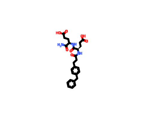 NC(=O)C(CCC(=O)O)NC(=O)[C@H](CCC(=O)O)NC(=O)CCc1ccc(Cc2ccccc2)cc1